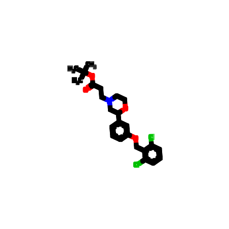 CC(C)(C)OC(=O)CCN1CCOC(c2cccc(OCc3c(Cl)cccc3Cl)c2)C1